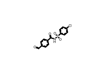 O=[C]c1ccc(C(=O)NS(=O)(=O)c2ccc(Cl)cc2)cc1